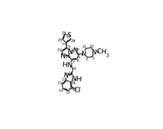 CN1CCN(c2cc(NCc3nc4cccc(Cl)c4[nH]3)c3ncc(-c4ccsc4)n3n2)CC1